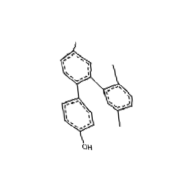 Cc1ccc(C)c(-c2cc(C)ccc2-c2ccc(O)cc2)c1